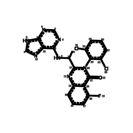 CC(Nc1ncnc2[nH]cnc12)c1nc2cccc(F)c2c(=O)n1-c1c(Cl)cccc1Cl